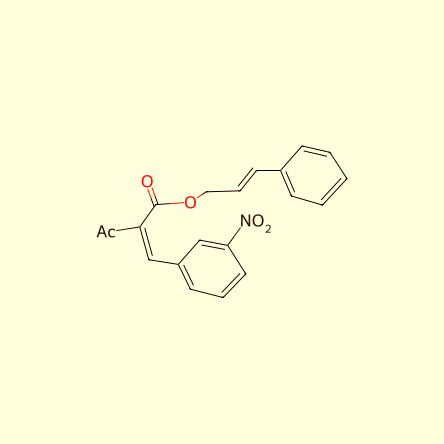 CC(=O)C(=Cc1cccc([N+](=O)[O-])c1)C(=O)OCC=Cc1ccccc1